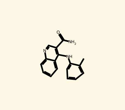 Cc1ccccc1Nc1c(C(N)=O)cnc2ccccc12